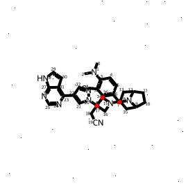 CN(C)c1ccc(CN2C3CCC2CC(N2CC(CC#N)(n4cc(-c5ncnc6[nH]ccc56)cn4)C2)C3)c(F)c1Cl